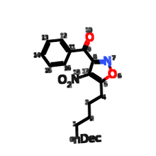 CCCCCCCCCCCCCCc1onc(C(=O)c2ccccc2)c1[N+](=O)[O-]